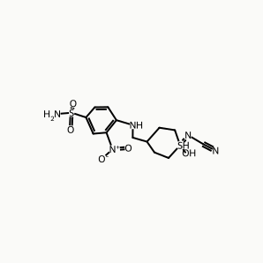 N#CN=[SH]1(O)CCC(CNc2ccc(S(N)(=O)=O)cc2[N+](=O)[O-])CC1